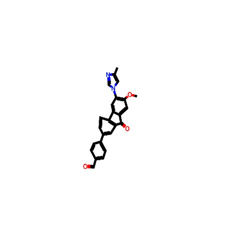 COc1cc2c(cc1-n1cnc(C)c1)-c1ccc(-c3ccc(C=O)cc3)cc1C2=O